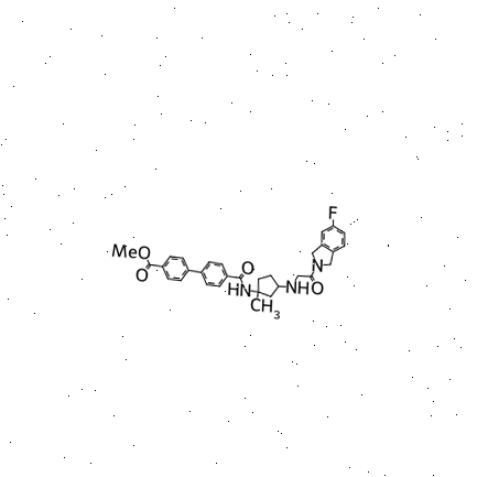 COC(=O)c1ccc(-c2ccc(C(=O)NC3(C)CCC(NCC(=O)N4Cc5ccc(F)cc5C4)C3)cc2)cc1